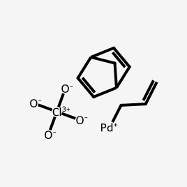 C1=CC2C=CC1C2.C=C[CH2][Pd+].[O-][Cl+3]([O-])([O-])[O-]